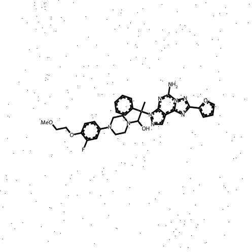 COCCOc1ccc(N2CCN(C(O)C(C)(c3ccccc3)n3ncc4c3nc(N)n3nc(-c5ccco5)nc43)CC2)cc1F